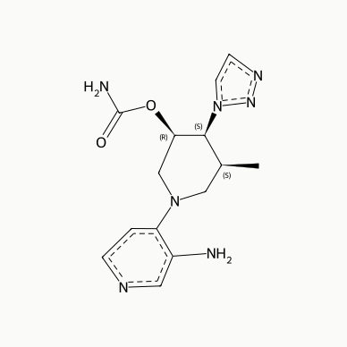 C[C@H]1CN(c2ccncc2N)C[C@@H](OC(N)=O)[C@H]1n1ccnn1